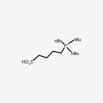 CCCC[P+](CCCC)(CCCC)CCCCS(=O)(=O)O